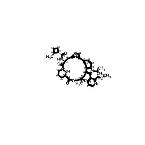 CCn1c(-c2cccnc2[C@H](C)OC)c2c3cc(ccc31)-c1csc(n1)C[C@H](NC(=O)[C@H]1CC[C@@H]1C)C(=O)N1CCC[C@H](N1)C(=O)OCC(C)(C)C2